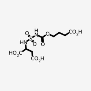 O=C(O)CCCOC(=O)NS(=O)(=O)NC(CC(=O)O)C(=O)O